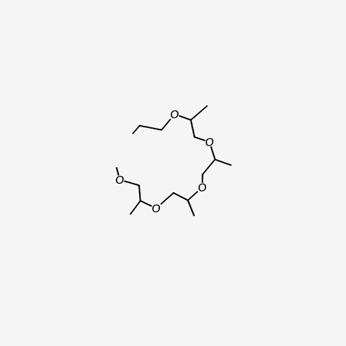 CCCOC(C)COC(C)COC(C)COC(C)COC